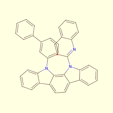 c1ccc(-c2cccc(-n3c4ccccc4c4ccc5c6ccccc6n(-c6ccc7ccccc7n6)c5c43)c2)cc1